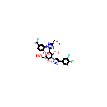 Cc1nc([C@@H]2O[C@H](CO)[C@H](O)[C@H](n3cc(-c4cc(F)c(Cl)c(F)c4)nn3)[C@H]2O)n(-c2cc(C(F)F)ccc2Cl)n1